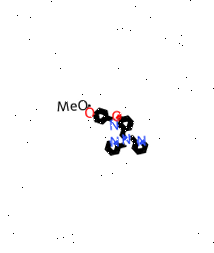 COCOc1ccc(-c2nc3c(CN(Cc4ccccn4)Cc4ccccn4)cccc3o2)cc1